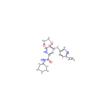 Cc1ccc(Cc2cc(C(=O)NC3CCCCC3)nc3c2OCCO3)cn1